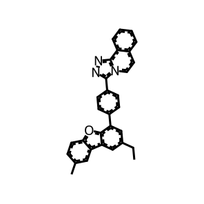 CCc1cc(-c2ccc(-c3nnc4c5ccccc5ccn34)cc2)c2oc3ccc(C)cc3c2c1